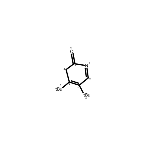 CC(C)(C)C1=C(C(C)(C)C)CC(=O)N=C1